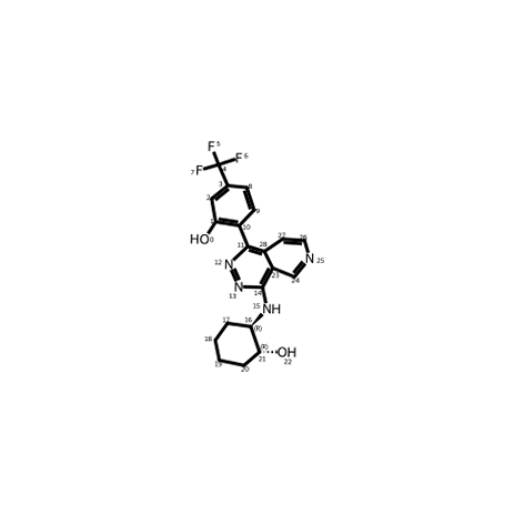 Oc1cc(C(F)(F)F)ccc1-c1nnc(N[C@@H]2CCCC[C@H]2O)c2cnccc12